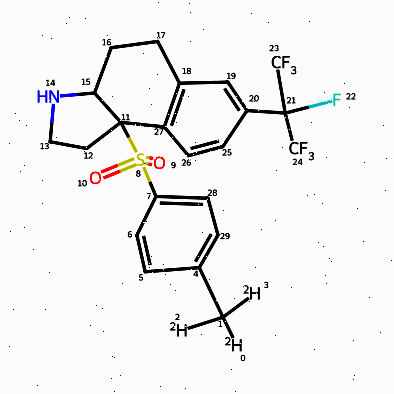 [2H]C([2H])([2H])c1ccc(S(=O)(=O)C23CCNC2CCc2cc(C(F)(C(F)(F)F)C(F)(F)F)ccc23)cc1